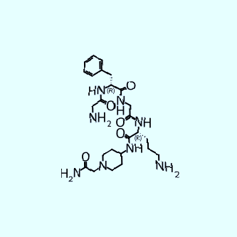 NCCC[C@@H](NC(=O)CNC(=O)[C@@H](Cc1ccccc1)NC(=O)CN)C(=O)NC1CCN(CC(N)=O)CC1